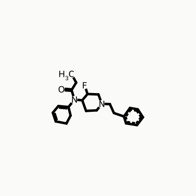 CCC(=O)N(C1=CC=CCC1)C1CCN(CCc2ccccc2)CC1F